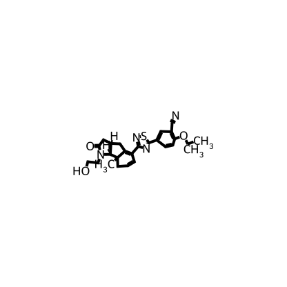 CC(C)Oc1ccc(-c2nc(C3=C4C[C@H]5CC(=O)N(CCO)[C@H]5C4(C)CC=C3)ns2)cc1C#N